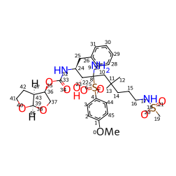 COc1ccc(S(=O)(=O)C(N)(CC(C)(C)CCCNS(C)(=O)=O)[C@H](O)[C@H](Cc2ccccc2)NC(=O)O[C@H]2CO[C@H]3OCC[C@H]32)cc1